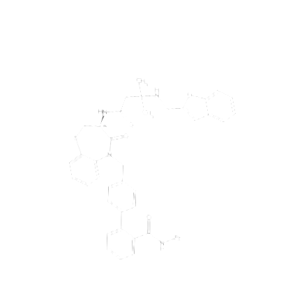 CCNC(=O)c1ccccc1-c1ccc(CN2C(=O)[C@H](NC(=O)CC(C)(C)NCc3cc4ccccc4o3)CSc3ccccc32)cc1